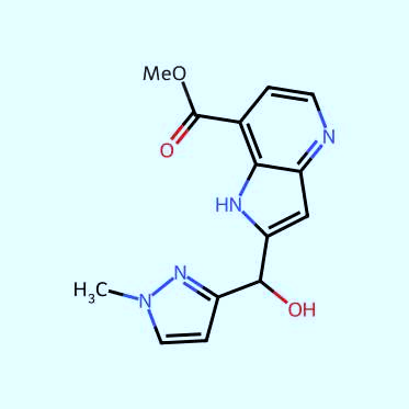 COC(=O)c1ccnc2cc(C(O)c3ccn(C)n3)[nH]c12